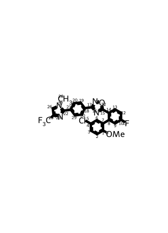 COc1ccc(Cl)cc1-c1cc(F)ccc1-c1nc(-c2ccc(-c3nc(C(F)(F)F)cn3C)cc2)no1